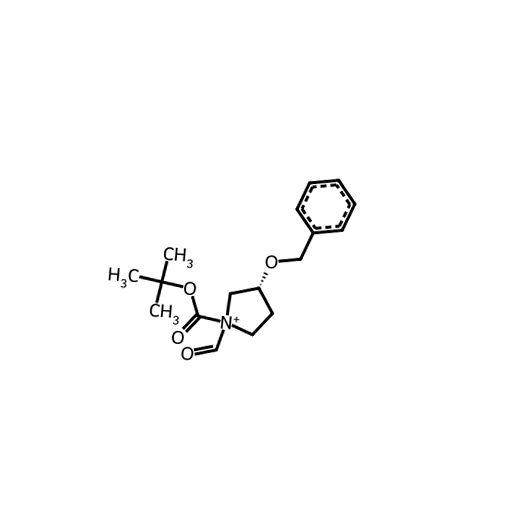 CC(C)(C)OC(=O)[N+]1(C=O)CC[C@@H](OCc2ccccc2)C1